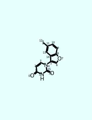 O=c1ccn(-c2coc3ccc(I)cc23)c(=O)[nH]1